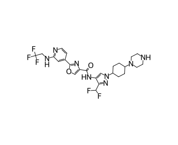 O=C(Nc1cn(C2CCC(N3CCNCC3)CC2)nc1C(F)F)c1coc(-c2ccnc(NCC(F)(F)F)c2)n1